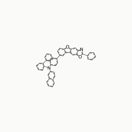 c1ccc(-c2nc3cc4oc5ccc(-c6ccc(N(c7ccc8ccccc8c7)c7ccccc7-c7ccccc7)cc6)cc5c4cc3o2)cc1